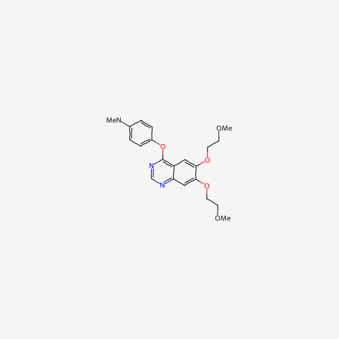 CNc1ccc(Oc2ncnc3cc(OCCOC)c(OCCOC)cc23)cc1